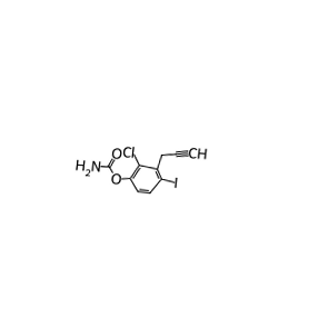 C#CCc1c(I)ccc(OC(N)=O)c1Cl